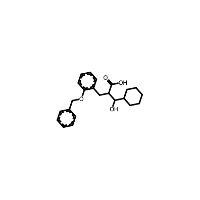 O=C(O)C(Cc1ccccc1OCc1ccccc1)C(O)C1CCCCC1